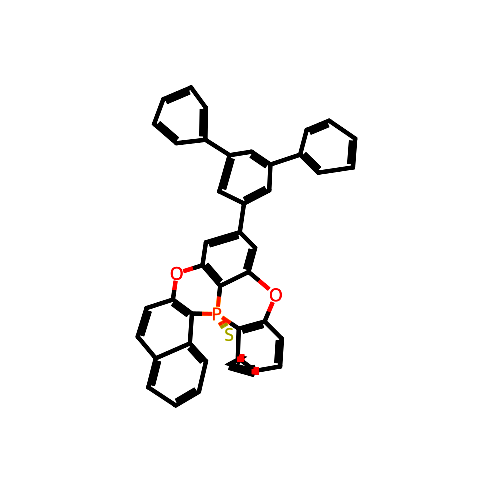 S=P12c3c(cc(-c4cc(-c5ccccc5)cc(-c5ccccc5)c4)cc3Oc3ccc4ccccc4c31)Oc1ccc3ccccc3c12